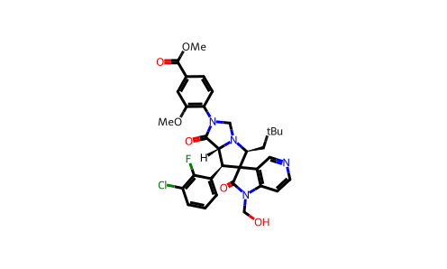 COC(=O)c1ccc(N2CN3[C@@H](CC(C)(C)C)C4(C(=O)N(CO)c5ccncc54)[C@@H](c4cccc(Cl)c4F)[C@@H]3C2=O)c(OC)c1